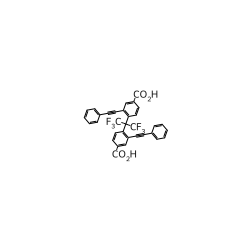 O=C(O)c1ccc(C(c2ccc(C(=O)O)cc2C#Cc2ccccc2)(C(F)(F)F)C(F)(F)F)c(C#Cc2ccccc2)c1